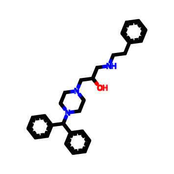 OC(CNCCc1ccccc1)CN1CCN(C(c2ccccc2)c2ccccc2)CC1